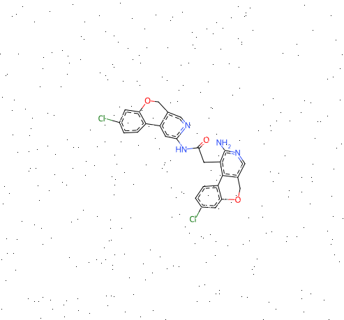 Nc1ncc2c(c1CC(=O)Nc1cc3c(cn1)COc1cc(Cl)ccc1-3)-c1ccc(Cl)cc1OC2